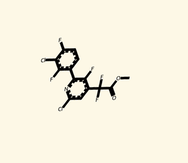 COC(=O)C(F)(F)c1cc(Cl)nc(-c2ccc(F)c(Cl)c2F)c1F